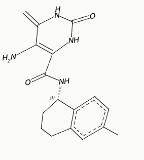 C=C1NC(=O)NC(C(=O)N[C@H]2CCCc3cc(C)ccc32)=C1N